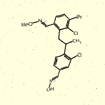 CO/N=C/c1ccc(C(C)C)c(Cl)c1CC(C)c1ccc(/C=N/O)cc1Cl